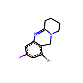 Brc1cc(I)cc2c1CN1CCCCC1=N2